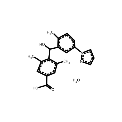 Cc1ccc(-n2cccn2)cc1C(O)c1c(C)cc(C(=O)O)cc1C.O